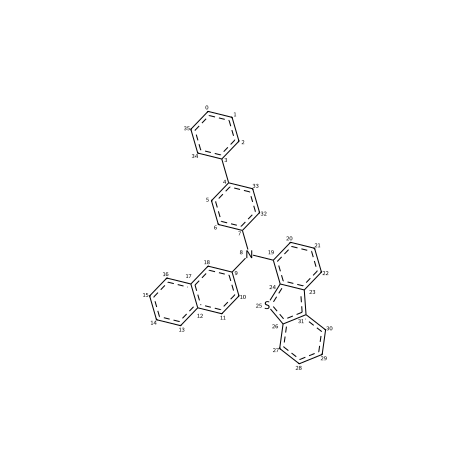 c1ccc(-c2ccc(N(c3ccc4ccccc4c3)c3cccc4c3sc3ccccc34)cc2)cc1